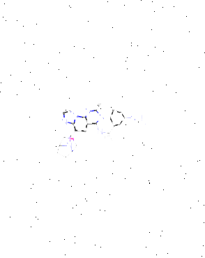 Cc1nc(N[C@H](C)c2cc(N)cc(C(F)(F)F)c2)c2cc(N3CC4CCC(C3)N4C)c3nccn3c2n1